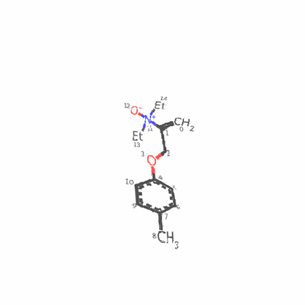 C=C(COc1ccc(C)cc1)[N+]([O-])(CC)CC